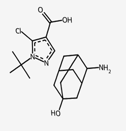 CC(C)(C)n1ncc(C(=O)O)c1Cl.NC1C2CC3CC1CC(O)(C3)C2